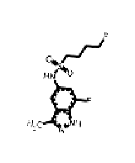 Cc1n[nH]c2c(F)cc(NS(=O)(=O)CCCCF)cc12